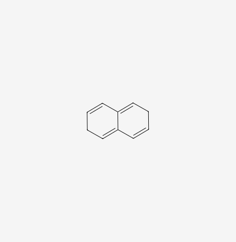 C1=CC2=CCC=CC2=CC1